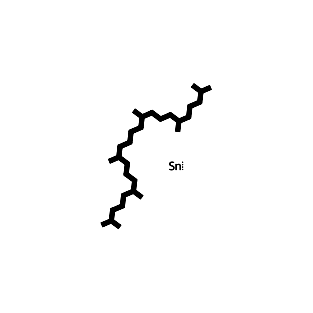 CC(C)CCCC(C)CCCC(C)CCCCC(C)CCCC(C)CCCC(C)C.[Sn]